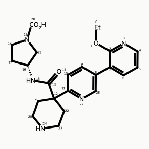 CCOc1ncccc1-c1ccc(C2(C(=O)N[C@@H]3CCN(C(=O)O)C3)CCNCC2)nc1